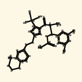 CN(C(=O)c1cn(CCc2ccc3c(n2)NCCC3)nc1C(F)(F)F)C(CC(=O)O)c1cc(Cl)cc(Cl)c1